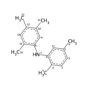 Cc1ccc(C)c(Nc2cc(C)c(C)cc2C)c1